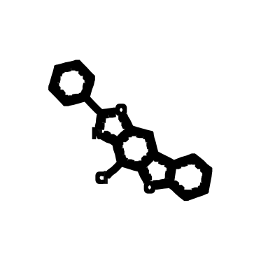 Clc1c2nc(-c3ccccc3)oc2cc2c1oc1ccccc12